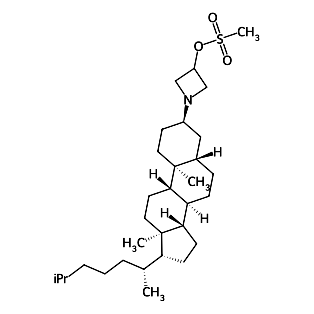 CC(C)CCC[C@@H](C)[C@H]1CC[C@H]2[C@@H]3CC[C@H]4C[C@H](N5CC(OS(C)(=O)=O)C5)CC[C@]4(C)[C@H]3CC[C@]12C